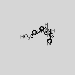 O=C(Nc1cccc(CN2CCCC(C(=O)O)C2)n1)Nc1csc(-c2ccncc2)n1